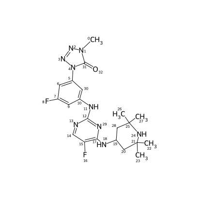 Cn1nnn(-c2cc(F)cc(Nc3ncc(F)c(NC4CC(C)(C)NC(C)(C)C4)n3)c2)c1=O